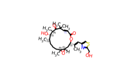 CC(=Cc1csc(CO)n1)[C@@H]1C[C@@H]2O[C@]2(C)CCC[C@H](C)[C@H](O)[C@@H](C)C(=O)C(C)(C)/C=C/C(=O)O1